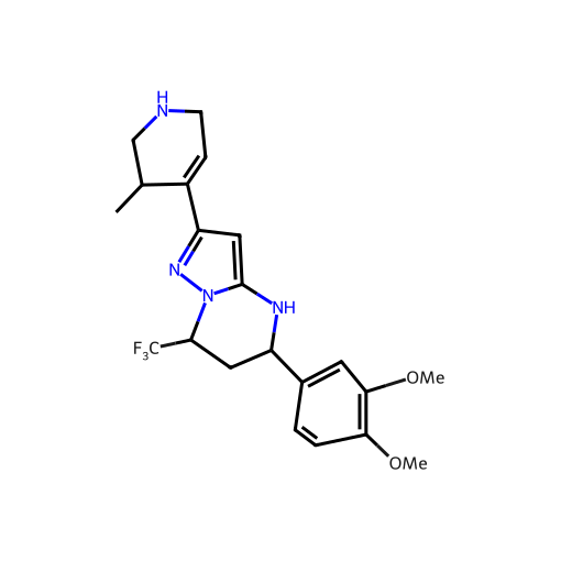 COc1ccc(C2CC(C(F)(F)F)n3nc(C4=CCNCC4C)cc3N2)cc1OC